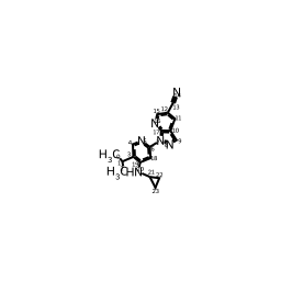 CC(C)c1cnc(-n2ncc3cc(C#N)cnc32)cc1NC1CC1